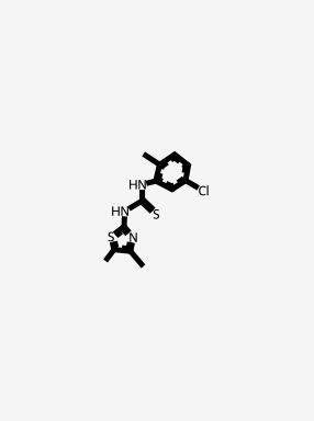 Cc1ccc(Cl)cc1NC(=S)Nc1nc(C)c(C)s1